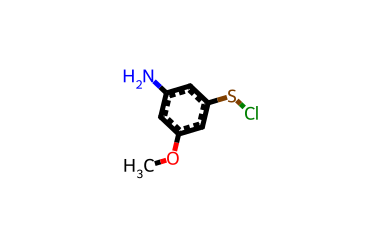 COc1cc(N)cc(SCl)c1